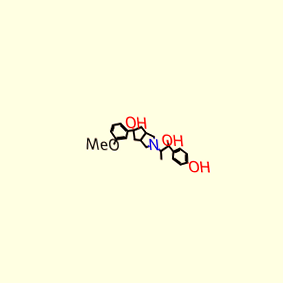 COc1cccc(C2(O)CC3CN(C(C)C(O)c4ccc(O)cc4)CC3C2)c1